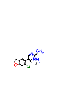 C=C(/C=N\C(N)=C/N)c1cc2c(cc1Cl)OCC2